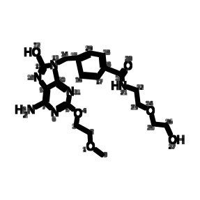 COCCOc1nc(N)c2nc(O)n(Cc3ccc(C(=O)NCCOCCO)cc3)c2n1